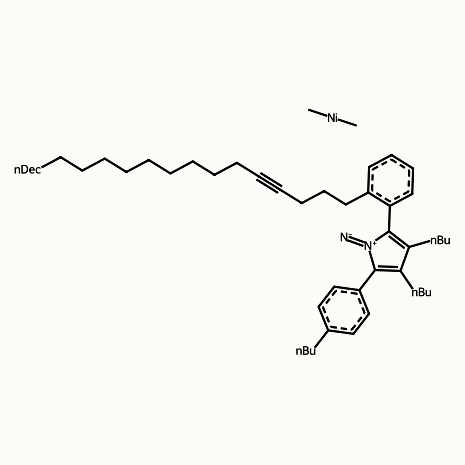 CCCCCCCCCCCCCCCCCCCC#CCCCc1ccccc1C1=C(CCCC)C(CCCC)=C(c2ccc(CCCC)cc2)[N+]1=[N-].[CH3][Ni][CH3]